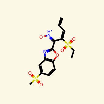 C=C/C=C(\C(=[NH+]\[O-])c1nc2cc(S(C)(=O)=O)ccc2o1)S(=O)(=O)CC